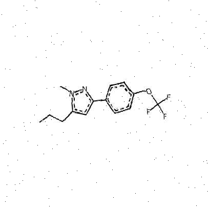 CCCc1cc(-c2ccc(OC(F)(F)F)cc2)nn1C